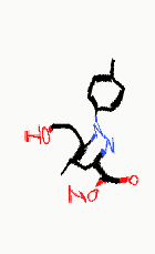 Cc1ccc(-n2nc(C(=O)O)c(C)c2CO)cc1